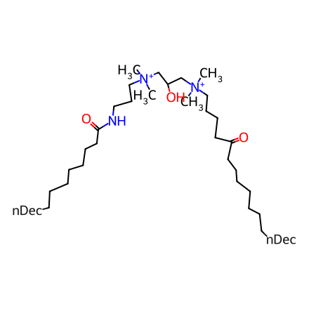 CCCCCCCCCCCCCCCCCC(=O)CCCC[N+](C)(C)CC(O)C[N+](C)(C)CCCNC(=O)CCCCCCCCCCCCCCCCC